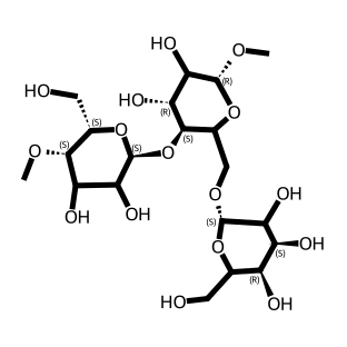 CO[C@@H]1OC(CO[C@H]2OC(CO)[C@H](O)[C@H](O)C2O)[C@@H](O[C@@H]2O[C@@H](CO)[C@@H](OC)C(O)C2O)[C@H](O)C1O